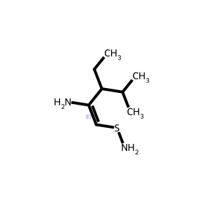 CCC(/C(N)=C\SN)C(C)C